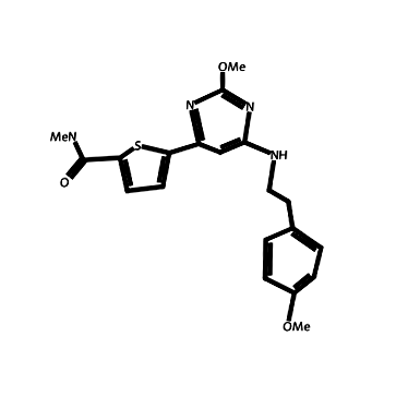 CNC(=O)c1ccc(-c2cc(NCCc3ccc(OC)cc3)nc(OC)n2)s1